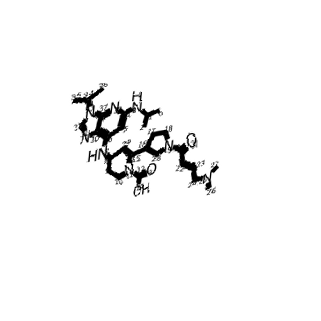 CC(C)Nc1cc(NC2CCN(C(=O)O)C(C3CCN(C(=O)/C=C/CN(C)C)C3)C2)c2ncn(C(C)C)c2n1